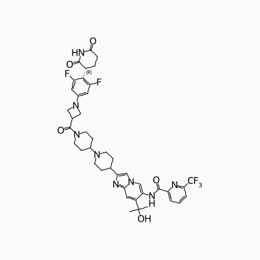 CC(C)(O)c1cc2nc(C3CCN(C4CCN(C(=O)C5CN(c6cc(F)c([C@H]7CCC(=O)NC7=O)c(F)c6)C5)CC4)CC3)cn2cc1NC(=O)c1cccc(C(F)(F)F)n1